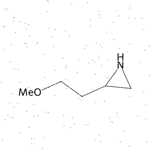 COCCC1CN1